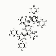 c1ccc(-c2cc(-c3ccccc3)cc(-n3c4ccccc4c4cc5c(cc43)c3ccccc3n5-c3cc(-c4ccccc4)nc(-c4ccccc4)c3)c2)cc1